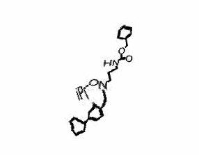 CC(C)ON(CCCNC(=O)OCc1ccccc1)Cc1ccc(-c2ccccc2)cc1